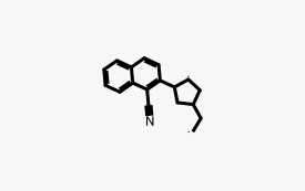 [CH2]CC1C[CH]C(c2ccc3ccccc3c2C#N)C1